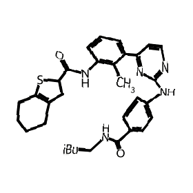 CCC(C)CNC(=O)c1ccc(Nc2nccc(-c3cccc(NC(=O)C4CC5=C(CCCC5)S4)c3C)n2)cc1